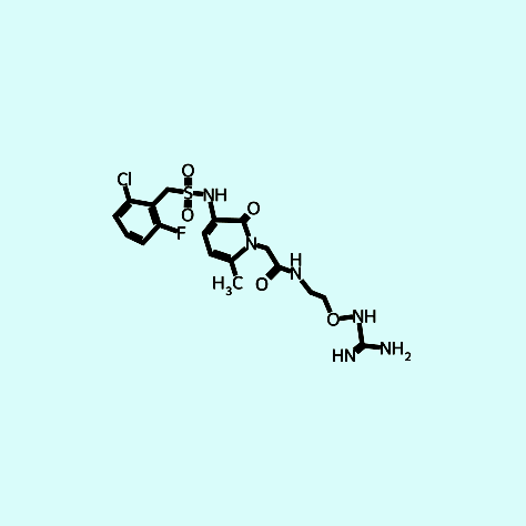 Cc1ccc(NS(=O)(=O)Cc2c(F)cccc2Cl)c(=O)n1CC(=O)NCCONC(=N)N